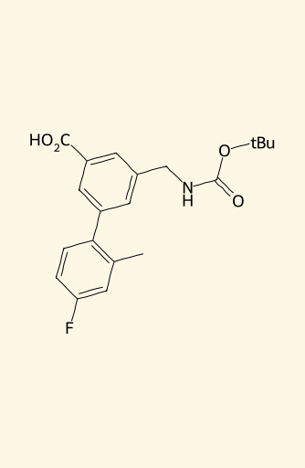 Cc1cc(F)ccc1-c1cc(CNC(=O)OC(C)(C)C)cc(C(=O)O)c1